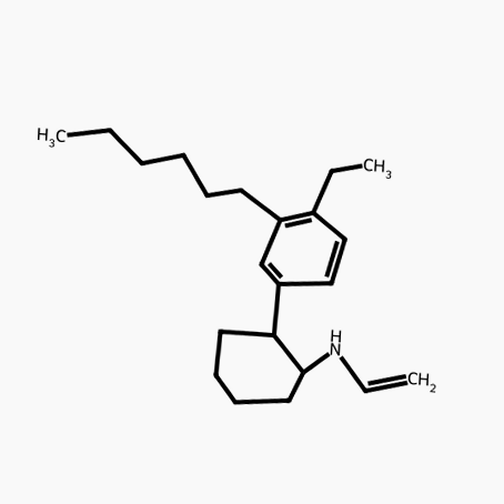 C=CNC1CCCCC1c1ccc(CC)c(CCCCCC)c1